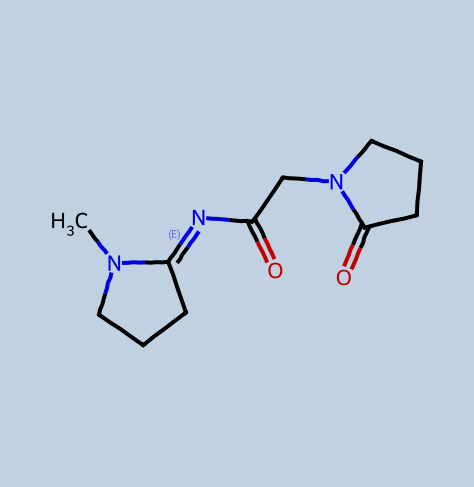 CN1CCC/C1=N\C(=O)CN1CCCC1=O